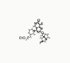 CCOC(=O)CC1CCCN(c2nc(OC[C@@]34CCCN3C[C@H](F)C4)nc3c(F)c(Cl)ncc23)C1